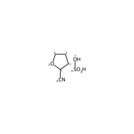 N#CC1CCCO1.O=S(=O)(O)O